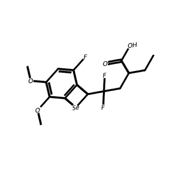 CCC(CC(F)(F)C1[Se]c2c(OC)c(OC)cc(F)c21)C(=O)O